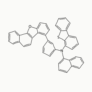 c1cc(-c2cccc3oc4c5ccccc5ccc4c23)cc(N(c2cccc3ccccc23)c2cccc3c2sc2ccccc23)c1